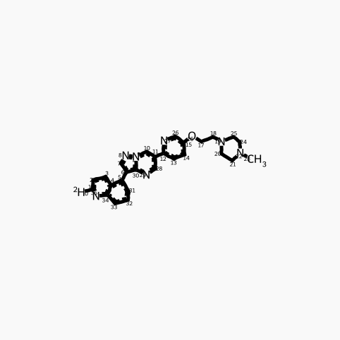 [2H]c1ccc2c(-c3cnn4cc(-c5ccc(OCCN6CCN(C)CC6)cn5)cnc34)cccc2n1